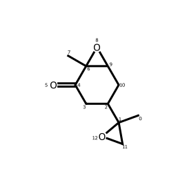 CC1(C2CC(=O)C3(C)OC3C2)CO1